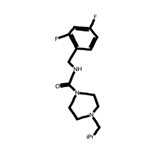 C[C](C)CN1CCN(C(=O)NCc2ccc(F)cc2F)CC1